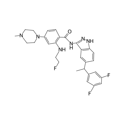 CC(c1cc(F)cc(F)c1)c1ccc2[nH]nc(NC(=O)c3ccc(N4CCN(C)CC4)cc3NCCF)c2c1